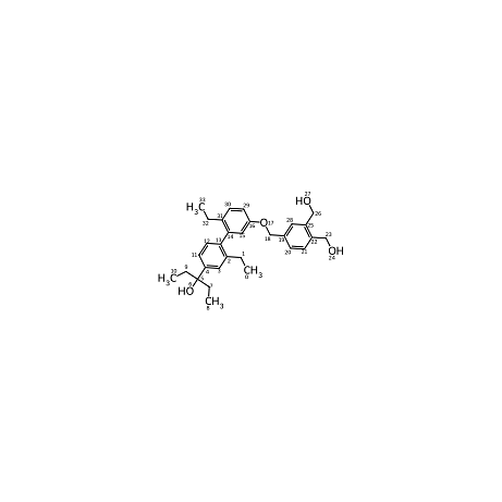 CCc1cc(C(O)(CC)CC)ccc1-c1cc(OCc2ccc(CO)c(CO)c2)ccc1CC